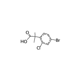 CC(C)(C(=O)O)c1ccc(Br)cc1Cl